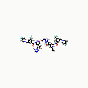 C[C@@H]1CN(Cc2cc3c(c(C(F)(F)F)c2)CN(c2cc(C4(Cc5nncn5C)COC4)cc(OCCc4nnc(CC5(c6cc(C7CC7)nc(N7Cc8c(cc(CN9CCC(F)(F)[C@H](C)C9)cc8C(F)(F)F)C7=O)c6)COC5)n4C)n2)C3=O)CCC1(F)F